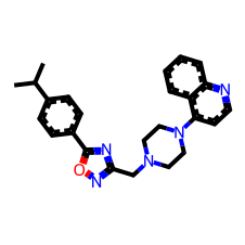 CC(C)c1ccc(-c2nc(CN3CCN(c4ccnc5ccccc45)CC3)no2)cc1